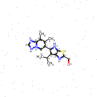 Cc1c(-c2[nH]c3sc(C=O)nc3c2C(C)C)cn2ncnc2c1C